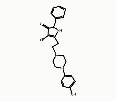 O=c1c(Cl)c(CCN2CCN(c3ccc(O)cc3)CC2)[nH]n1-c1ccccc1